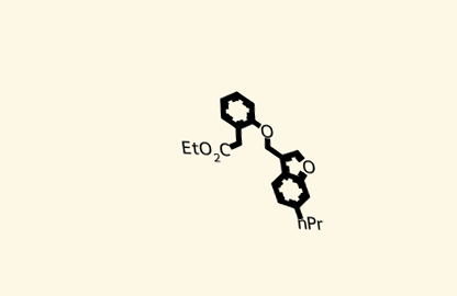 CCCc1ccc2c(COc3ccccc3CC(=O)OCC)coc2c1